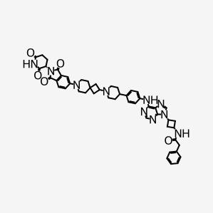 O=C1CC[C@H](N2C(=O)c3ccc(N4CCC5(CC4)CC(N4CCC(c6ccc(Nc7ncnc8c7ncn8C7CC(NC(=O)Cc8ccccc8)C7)cc6)CC4)C5)cc3C2=O)C(=O)N1